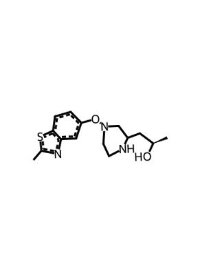 Cc1nc2cc(ON3CCNC(C[C@@H](C)O)C3)ccc2s1